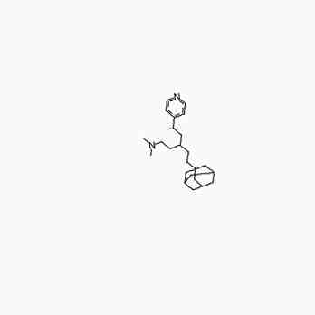 CN(C)CCC(C[CH]c1ccncc1)CCC12CC3CC(CC(C3)C1)C2